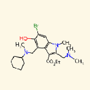 CCOC(=O)c1c(CN(C)C)n(C)c2cc(Br)c(O)c(CN(C)C3CCCCC3)c12